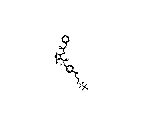 CC(C)(C)[Si](C)(C)OCCNc1ccc(NC(=O)c2[nH]cnc2OC(=O)Oc2ccccc2)cc1